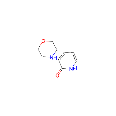 C1COCCN1.O=c1cccc[nH]1